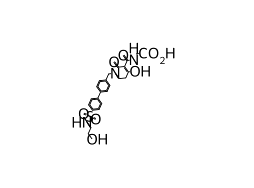 O=C(O)CNC(=O)C1=C(O)CCN(Cc2ccc(-c3ccc(S(=O)(=O)NCCO)cc3)cc2)C1=O